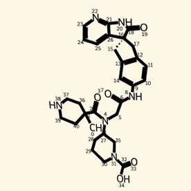 CC1(C(=O)N(CC(=O)Nc2ccc3c(c2)C[C@@]2(C3)C(=O)Nc3ncccc32)C2CCCN(C(=O)O)C2)CCNCC1